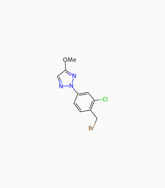 COc1cnn(-c2ccc(CBr)c(Cl)c2)n1